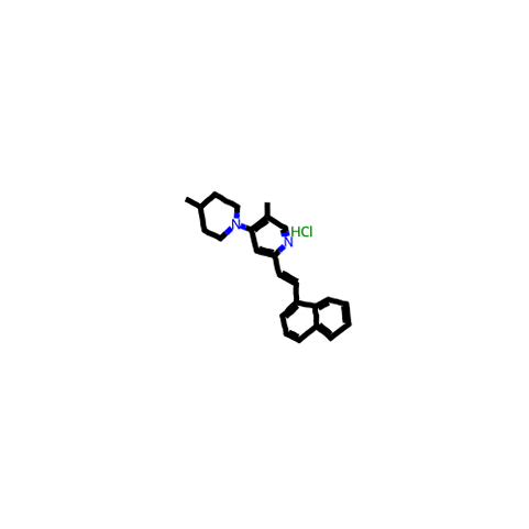 Cc1cnc(C=Cc2cccc3ccccc23)cc1N1CCC(C)CC1.Cl